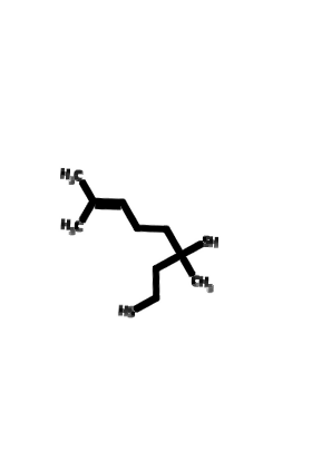 CC(C)=CCCC(C)(S)CCS